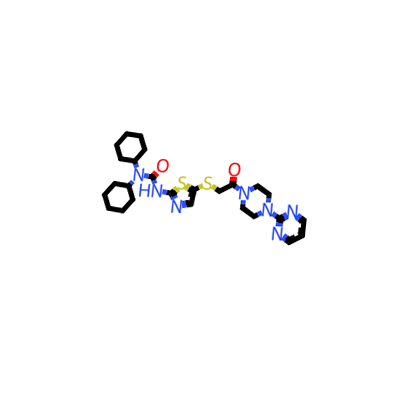 O=C(CSc1cnc(NC(=O)N(C2CCCCC2)C2CCCCC2)s1)N1CCN(c2ncccn2)CC1